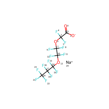 O=C([O-])C(F)(F)OC(F)(F)C(F)(F)OC(F)(F)C(F)(F)C(F)(F)F.[Na+]